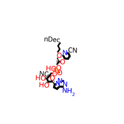 CCCCCCCCCCCCCCOC[C@H](COP(=O)(O)OC[C@@]1(C#N)O[C@@H](c2ccc3c(N)ncnn23)[C@H](O)[C@@H]1O)Oc1ccc(C#N)nc1